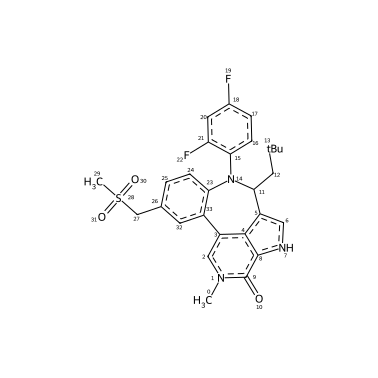 Cn1cc2c3c(c[nH]c3c1=O)C(CC(C)(C)C)N(c1ccc(F)cc1F)c1ccc(CS(C)(=O)=O)cc1-2